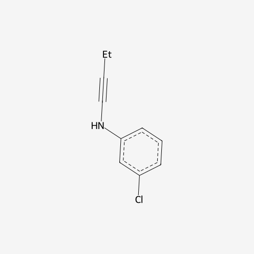 CCC#CNc1cccc(Cl)c1